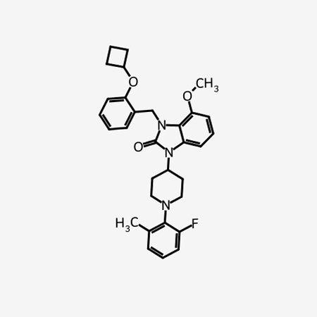 COc1cccc2c1n(Cc1ccccc1OC1CCC1)c(=O)n2C1CCN(c2c(C)cccc2F)CC1